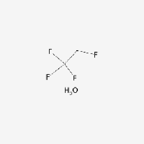 FCC(F)(F)F.O